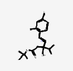 Cc1cc(F)ccc1/C=C/C(O)(CC(=O)OC(C)(C)C)C(C)C